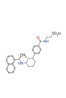 C[C@@H](NC1CCCC(c2ccc(C(=O)NCCS(=O)(=O)O)cc2)C1)c1cccc2ccccc12